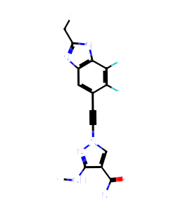 CCc1nc2cc(C#Cn3cc(C(N)=O)c(NC)n3)c(F)c(F)c2[nH]1